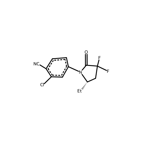 CC[C@H]1CC(F)(F)C(=O)N1c1ccc(C#N)c(Cl)c1